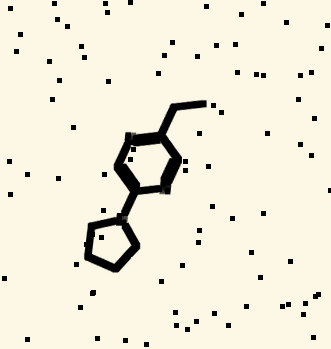 CCc1cnc(N2CCCC2)cn1